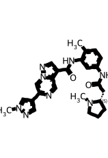 Cc1ccc(NC(=O)C[C@@H]2CCCN2C)cc1NC(=O)c1cnn2cc(-c3cnn(C)c3)ncc12